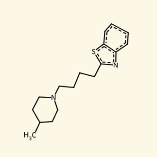 CC1CCN(CCCCc2nc3ccccc3s2)CC1